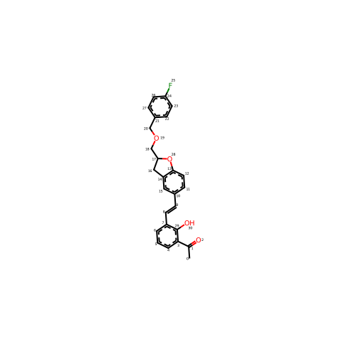 CC(=O)c1cccc(C=Cc2ccc3c(c2)CC(COCc2ccc(F)cc2)O3)c1O